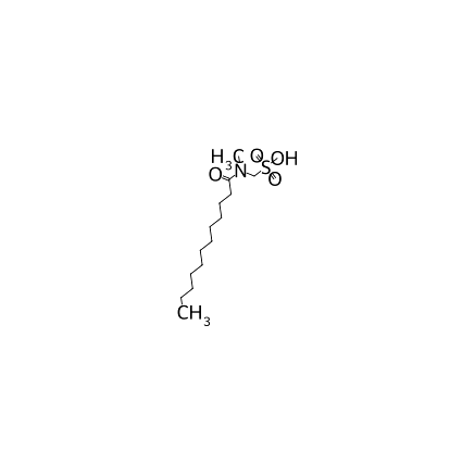 CCCCCCCCCCCC(=O)N(C)CS(=O)(=O)O